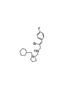 Fc1ccc(C=C(Br)CNCC2CCCN2CC2CCCCC2)cc1